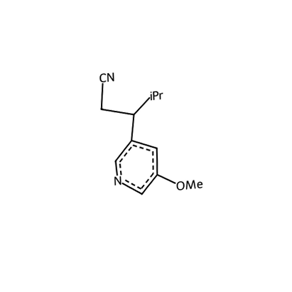 COc1cncc(C(CC#N)C(C)C)c1